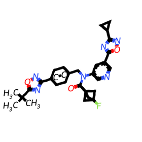 CC(C)(C)c1nc(C23CCC(CN(C(=O)C45CC(F)(C4)C5)c4cncc(-c5nc(C6CC6)no5)c4)(CC2)CC3)no1